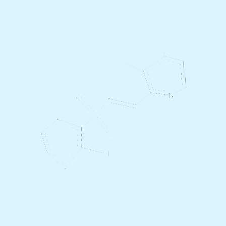 O=S(=O)(/C=C/c1ncccc1F)c1ccccc1Cl